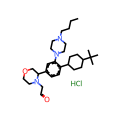 CCCCN1CCN(c2cc(C3COCCN3CC=O)ccc2C2CCC(C(C)(C)C)CC2)CC1.Cl